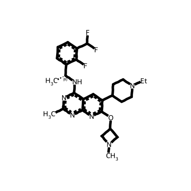 CCN1CCC(c2cc3c(N[C@H](C)c4cccc(C(F)F)c4F)nc(C)nc3nc2OC2CN(C)C2)CC1